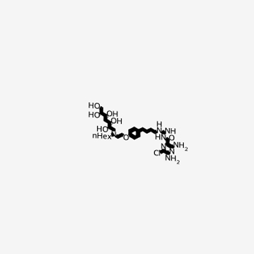 CCCCCCN(CCOc1ccc(CCCCNC(=N)NC(=O)c2nc(Cl)c(N)nc2N)cc1)C[C@H](O)[C@@H](O)C[C@H](O)[C@H](O)CO